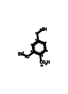 CCOc1cc(CS)ccc1C(=O)O